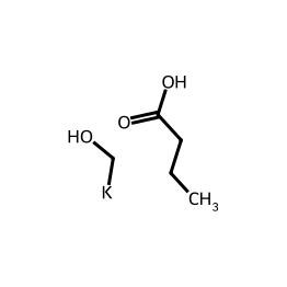 CCCC(=O)O.O[CH2][K]